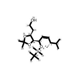 CC(C)[C@H](C)/C=C\C(O[Si](C)(C)C(C)(C)C)[C@H]1OC(C)(C)O[C@H]1CCO